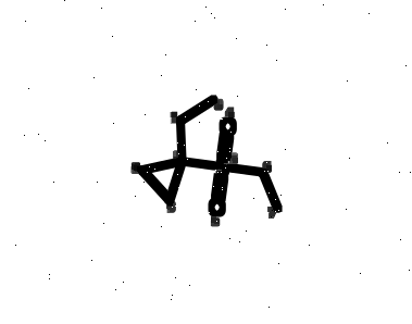 CCC1(S(=O)(=O)CC)CC1